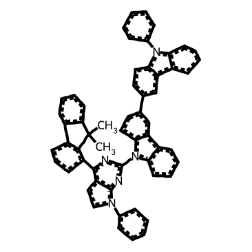 CC1(C)c2ccccc2-c2cccc(-c3nc(-n4c5ccccc5c5cc(-c6ccc7c(c6)c6ccccc6n7-c6ccccc6)ccc54)nc4c3ccn4-c3ccccc3)c21